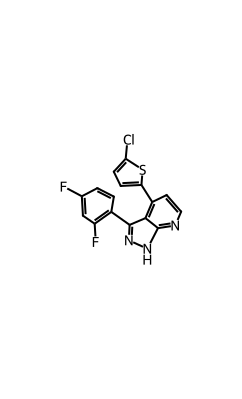 Fc1ccc(-c2n[nH]c3nccc(-c4ccc(Cl)s4)c23)c(F)c1